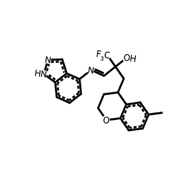 Cc1ccc2c(c1)C(CC(O)(C=Nc1cccc3[nH]ncc13)C(F)(F)F)CCO2